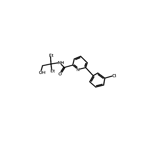 CCC(CC)(CO)NC(=O)c1cccc(-c2cccc(Cl)c2)n1